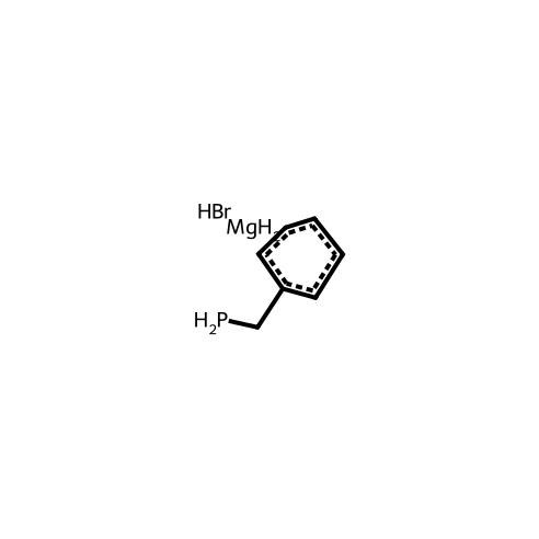 Br.PCc1ccccc1.[MgH2]